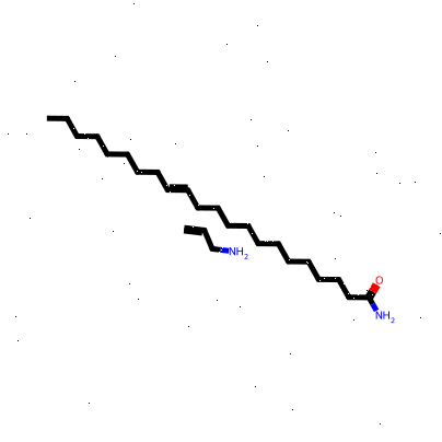 C=CCN.CCCCCCCCC=CCCCCCCCCCCCC(N)=O